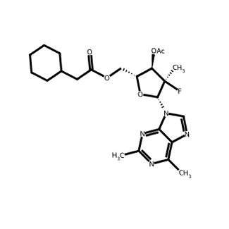 CC(=O)O[C@@H]1[C@@H](COC(=O)CC2CCCCC2)O[C@@H](n2cnc3c(C)nc(C)nc32)[C@]1(C)F